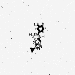 C[C@H](NC(=O)Cn1nnn(C2CC2)c1=O)c1ccc(F)c(Cl)c1